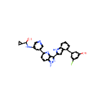 Oc1cc(F)cc(-c2cccc3[nH]c(-c4n[nH]c5ccc(-c6cncc(NC(O)C7CC7)c6)nc45)cc23)c1